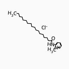 CCCCCCCCCCCCCCCCCC(=O)Nc1cccc[n+]1C.[Cl-]